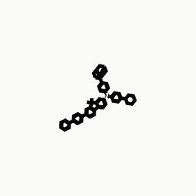 CC1(C)c2cc(-c3ccc(-c4ccccc4)cc3)ccc2-c2ccc(N(c3ccc(C4CCCCC4)cc3)c3ccc(C4C5CC6CC(C5)CC4C6)cc3)cc21